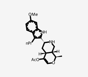 CCCc1c([C@H]2C[C@H]3C(OC(C)=O)=CO[C@H](C)[C@H]3CN2)[nH]c2cc(OC)ccc12